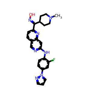 CN1CCC(/C(=N\O)c2ccc3cnc(Nc4ccc(-n5cccn5)cc4F)cc3n2)CC1